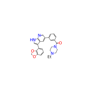 CCN1CCN(C(=O)c2cccc(-c3cnc4[nH]cc(-c5cccc6c5OCO6)c4c3)c2)CC1